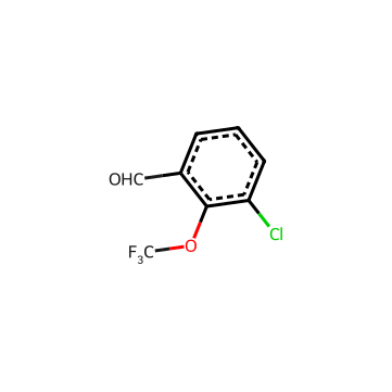 O=Cc1cccc(Cl)c1OC(F)(F)F